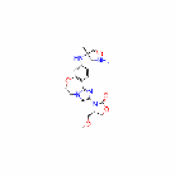 COC[C@@H]1COC(=O)N1c1cn2c(n1)-c1ccc(N[C@](C)(C=O)CN)cc1OCC2